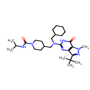 CC(C)NC(=O)N1CCC(CN(CC2CCCCC2)c2nc3c(C(C)(C)C)nn(C)c3c(=O)[nH]2)CC1